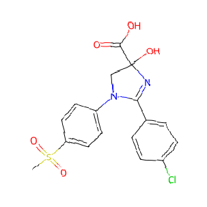 CS(=O)(=O)c1ccc(N2CC(O)(C(=O)O)N=C2c2ccc(Cl)cc2)cc1